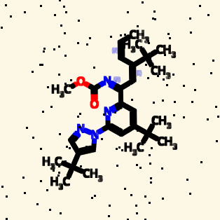 C\C=C/C(=C\C(=N\C(=O)OC)c1cc(C(C)(C)C)cc(-n2cc(C(C)(C)C)cn2)n1)C(C)(C)C